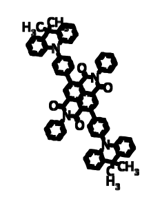 CC1(C)c2ccccc2N(c2ccc(-c3cc4c5c(c(-c6ccc(N7c8ccccc8C(C)(C)c8ccccc87)cc6)cc6c5c3C(=O)N(c3ccccc3)C6=O)C(=O)N(c3ccccc3)C4=O)cc2)c2ccccc21